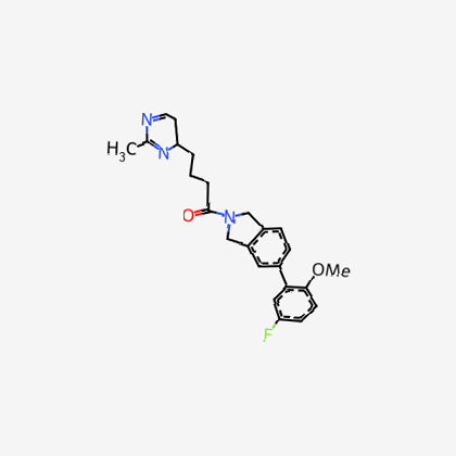 COc1ccc(F)cc1-c1ccc2c(c1)CN(C(=O)CCCC1CC=NC(C)=N1)C2